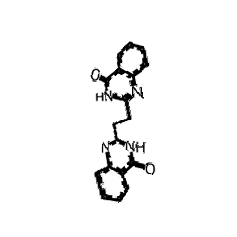 O=c1[nH]c(CCc2nc3ccccc3c(=O)[nH]2)nc2ccccc12